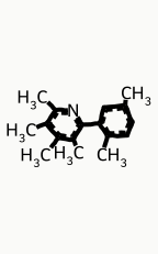 Cc1ccc(C)c(-c2nc(C)c(C)c(C)c2C)c1